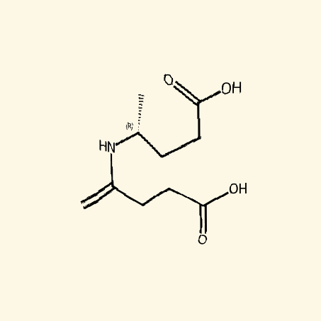 C=C(CCC(=O)O)N[C@H](C)CCC(=O)O